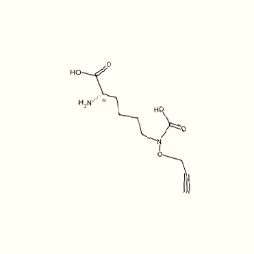 C#CCON(CCCC[C@H](N)C(=O)O)C(=O)O